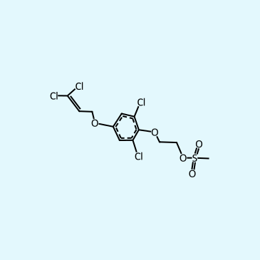 CS(=O)(=O)OCCOc1c(Cl)cc(OCC=C(Cl)Cl)cc1Cl